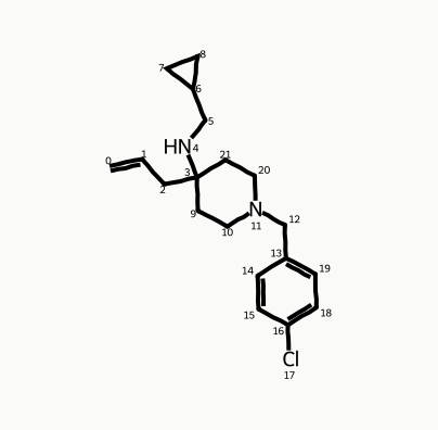 C=CCC1(NCC2CC2)CCN(Cc2ccc(Cl)cc2)CC1